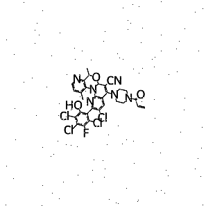 C=CC(=O)N1CCN(C2=C(C#N)C3OC(C)c4nccc(C)c4N3c3nc(-c4c(O)c(Cl)c(Cl)c(F)c4Cl)c(Cl)cc32)CC1